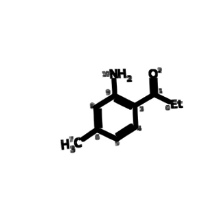 CCC(=O)c1ccc(C)cc1N